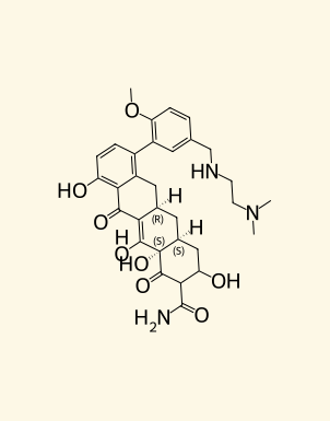 COc1ccc(CNCCN(C)C)cc1-c1ccc(O)c2c1C[C@H]1C[C@H]3CC(O)C(C(N)=O)C(=O)[C@@]3(O)C(O)=C1C2=O